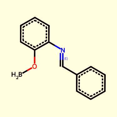 BOc1ccccc1/N=C/c1ccccc1